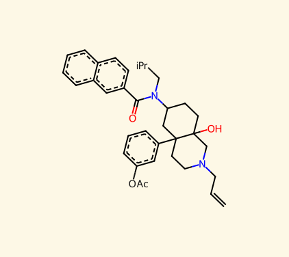 C=CCN1CCC2(c3cccc(OC(C)=O)c3)CC(N(CC(C)C)C(=O)c3ccc4ccccc4c3)CCC2(O)C1